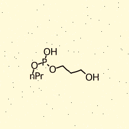 CCCOP(O)OCCCO